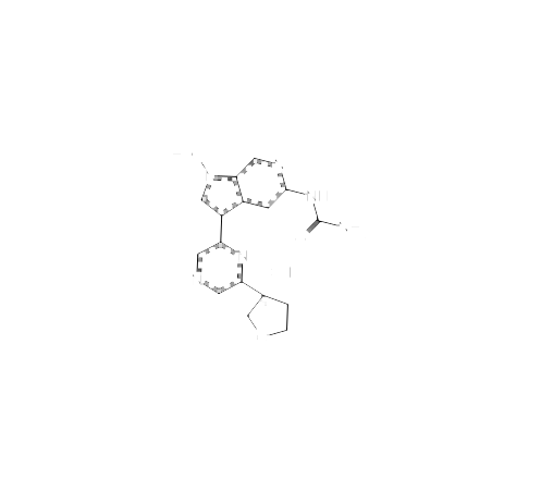 Cn1cc(-c2cncc([C@@]3(C)CCOC3)n2)c2cc(NC(N)=O)ncc21